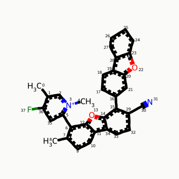 Cc1c[n+](C)c(-c2c(C)ccc3c2oc2c(-c4ccc5c(c4)oc4ccccc45)c(C#N)ccc23)cc1F